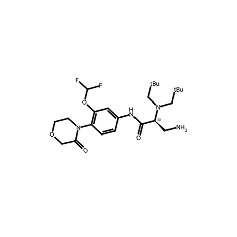 CC(C)(C)CN(CC(C)(C)C)[C@@H](CN)C(=O)Nc1ccc(N2CCOCC2=O)c(OC(F)F)c1